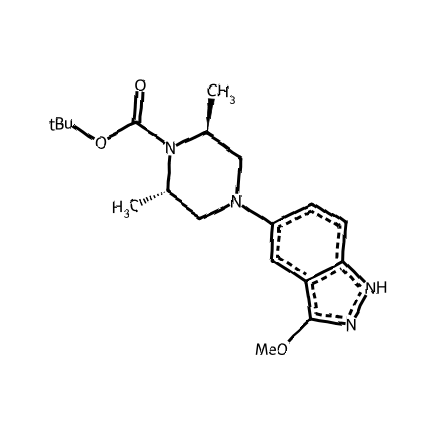 COc1n[nH]c2ccc(N3C[C@H](C)N(C(=O)OC(C)(C)C)[C@@H](C)C3)cc12